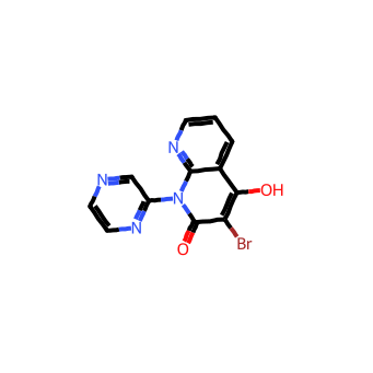 O=c1c(Br)c(O)c2cccnc2n1-c1cnccn1